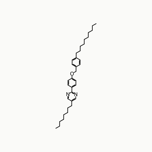 CCCCCCCCCCc1ccc(COc2ccc(-c3ncc(CCCCCCCC)cn3)cc2)cc1